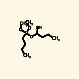 CCCC[Si](OC)(OC)OC(S)CCC